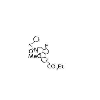 CCOC(=O)Cc1ccc(OC)c(-c2ccc(F)c3c2CCN(C(=O)[C@@H]2C[C@H]2c2ccccc2)CC3)c1